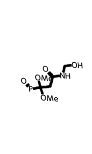 COC(CC(=O)NCO)(OC)P=O